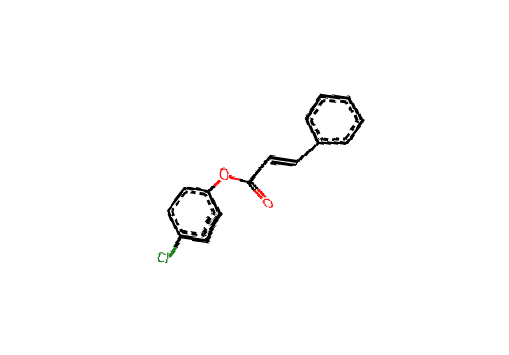 O=C(C=Cc1ccccc1)Oc1ccc(Cl)cc1